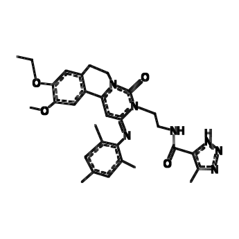 CCOc1cc2c(cc1OC)-c1c/c(=N\c3c(C)cc(C)cc3C)n(CCNC(=O)c3[nH]nnc3C)c(=O)n1CC2